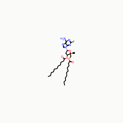 C#C[C@]1(COC(=O)CCCCCCCCCC)O[C@@H](n2cnc3c(N)nc(F)nc32)CC1OC(=O)CCCCCCCCCC